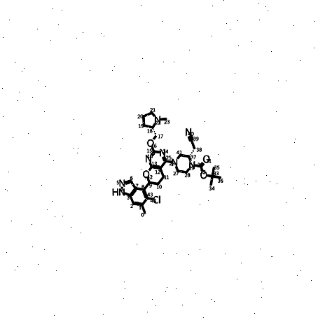 Cc1cc2[nH]ncc2c(C2CCc3c(nc(OC[C@@H]4CCCN4C)nc3N3CCN(C(=O)OC(C)(C)C)[C@@H](CC#N)C3)O2)c1Cl